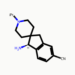 CC(C)N1CCC2(CC1)Cc1cc(C#N)ccc1[C@H]2N